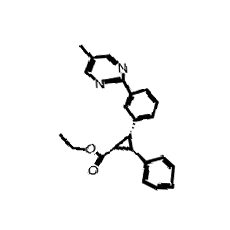 CCOC(=O)[C@@H]1[C@H](c2ccccc2)[C@H]1c1cccc(-c2ncc(C)cn2)c1